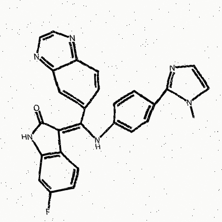 Cn1ccnc1-c1ccc(NC(=C2C(=O)Nc3cc(F)ccc32)c2ccc3nccnc3c2)cc1